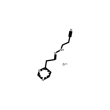 N#CCCNN=CCc1ccncn1.[Zr+4]